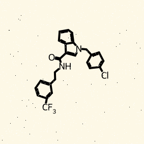 O=C(NCCc1cccc(C(F)(F)F)c1)c1cn(Cc2ccc(Cl)cc2)c2ccccc12